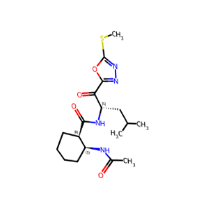 CSc1nnc(C(=O)[C@H](CC(C)C)NC(=O)[C@@H]2CCCC[C@@H]2NC(C)=O)o1